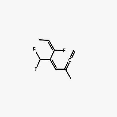 C=C=C(C)/C=C(\C(F)=C/C)C(F)F